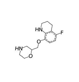 Fc1ccc(OCC2CNCCO2)c2c1CCCN2